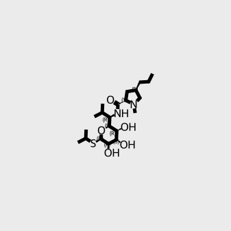 CCC[C@@H]1C[C@@H](C(=O)N[C@H](C(C)C)[C@H]2O[C@H](SC(C)C)[C@H](O)[C@@H](O)[C@H]2O)N(C)C1